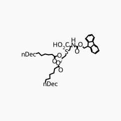 CCCCCCCCCCCCCCCC(=O)OC[C@@H](CSC[C@H](NC(=O)OCC1c2ccccc2-c2ccccc21)C(=O)O)OC(=O)CCCCCCCCCCCCCCC